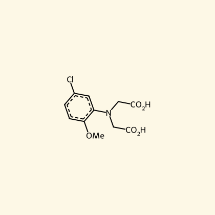 COc1ccc(Cl)cc1N(CC(=O)O)CC(=O)O